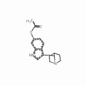 CC(=O)Oc1ccc2c(C3CN4CCC3CC4)c[nH]c2c1